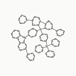 c1ccc(-c2ccc3c(c2)C(c2ccc(-n4c5ccccc5c5ccc(-c6ccccc6)cc54)cc2)(c2ccc([Si](c4ccccc4)(c4ccccc4)c4ccccc4)cc2)c2cc(-c4ccccc4)ccc2-3)cc1